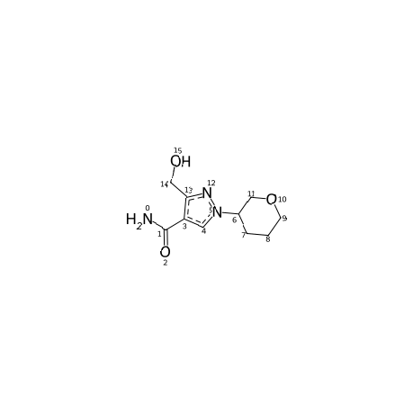 NC(=O)c1cn(C2CCCOC2)nc1CO